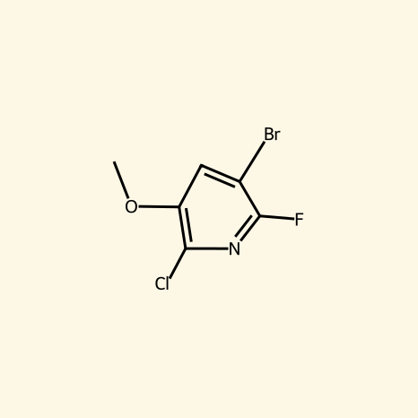 COc1cc(Br)c(F)nc1Cl